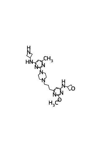 COc1nc(CCCN2CCN(c3nc(C)cc(NC4CNC4)n3)CC2)cc(NC2COC2)n1